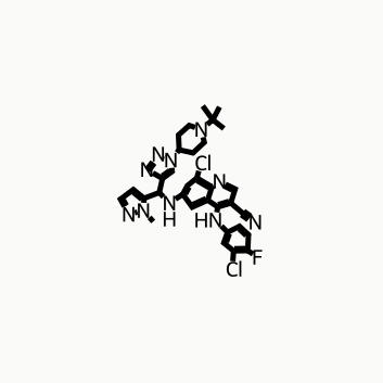 Cn1nccc1C(Nc1cc(Cl)c2ncc(C#N)c(Nc3ccc(F)c(Cl)c3)c2c1)c1cn(C2CCN(C(C)(C)C)CC2)nn1